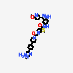 C=C(/N=C\N(C)N)c1ccc(C2=CCN(C(=O)CN3CC[C@@](SC)(C(=O)Nc4ccc5[nH]nc(C6C=NC(OC)=CC6)c5c4)C3)CC2)cc1